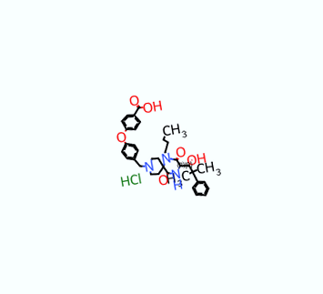 CCCCN1C(=O)[C@@H]([C@H](O)C(C)(C)c2ccccc2)NC(=O)C12CCN(Cc1ccc(Oc3ccc(C(=O)O)cc3)cc1)CC2.Cl